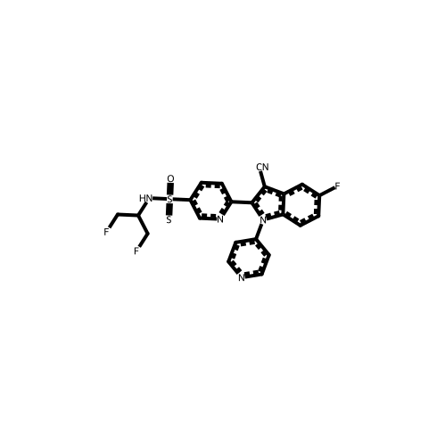 N#Cc1c(-c2ccc(S(=O)(=S)NC(CF)CF)cn2)n(-c2ccncc2)c2ccc(F)cc12